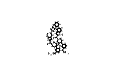 CSc1sc(C(=O)N2CCC3(CC2)COc2ccc(CN)cc23)cc1/C=C/B1OC(=O)[C@@](c2ccccc2)(c2cccc3[nH]c(C(=O)N4CCC(c5cccc(CN)c5)CC4)cc23)O1